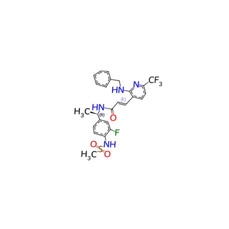 C[C@@H](NC(=O)/C=C/c1ccc(C(F)(F)F)nc1NCc1ccccc1)c1ccc(NS(C)(=O)=O)c(F)c1